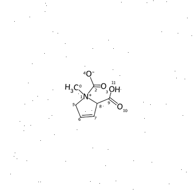 C[N+]1(C(=O)[O-])CC=CC1C(=O)O